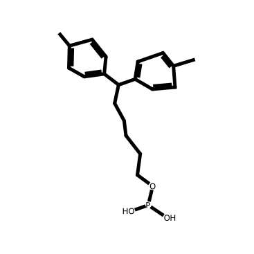 Cc1ccc(C(CCCCCOP(O)O)c2ccc(C)cc2)cc1